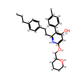 CCCc1ccc(CCc2nc(OCC3CCCCO3)cc(O)c2-c2ccc(C)cc2)cc1